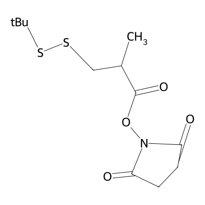 CC(CSSC(C)(C)C)C(=O)ON1C(=O)CCC1=O